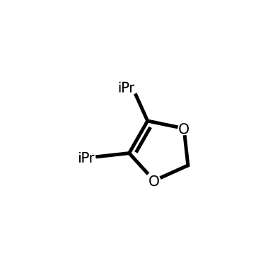 CC(C)C1=C(C(C)C)OCO1